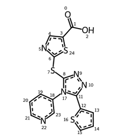 O=C(O)c1cnc(Sc2nnc(-c3cccs3)n2-c2cccnc2)s1